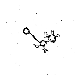 COc1c(C#Cc2ccccc2)cc(-n2ccc(=O)[nH]c2=O)cc1C(C)(C)C